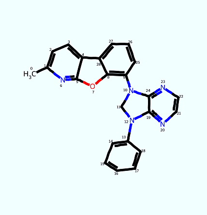 Cc1ccc2c(n1)oc1c(N3CN(c4ccccc4)c4nccnc43)cccc12